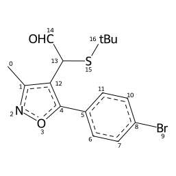 Cc1noc(-c2ccc(Br)cc2)c1C(C=O)SC(C)(C)C